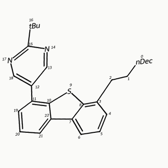 CCCCCCCCCCCCc1cccc2c1sc1c(-c3cnc(C(C)(C)C)nc3)cccc12